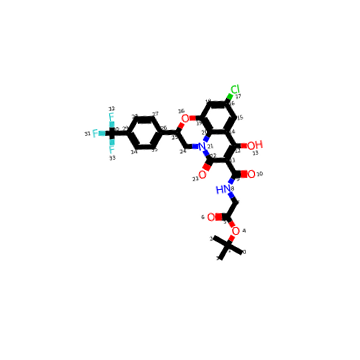 CC(C)(C)OC(=O)CNC(=O)c1c(O)c2cc(Cl)cc3c2n(c1=O)CC(c1ccc(C(F)(F)F)cc1)O3